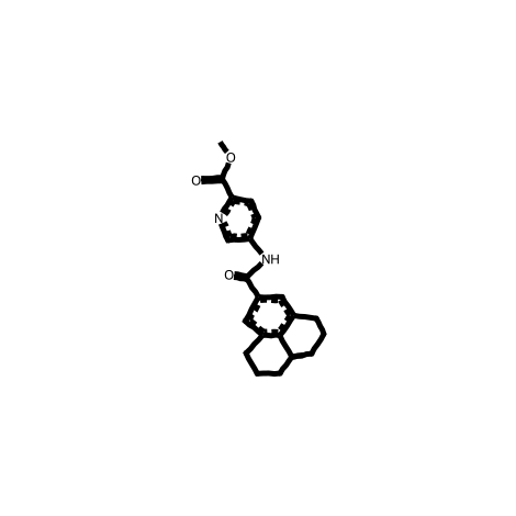 COC(=O)c1ccc(NC(=O)c2cc3c4c(c2)CCCC4(C)CCC3)cn1